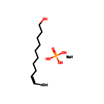 CCCCCCCC/C=C\CCCCCCCCO.O=P(O)(O)O.[NaH]